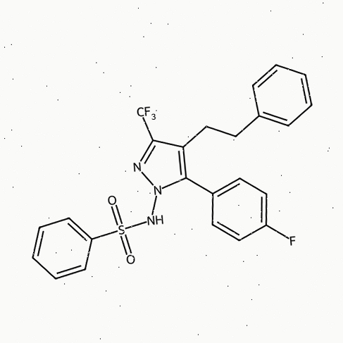 O=S(=O)(Nn1nc(C(F)(F)F)c(CCc2ccccc2)c1-c1ccc(F)cc1)c1ccccc1